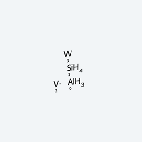 [AlH3].[SiH4].[V].[W]